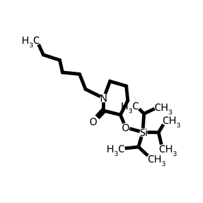 CCCCCCN1CCCC(O[Si](C(C)C)(C(C)C)C(C)C)C1=O